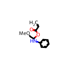 C=CC(=O)OC(COC)Nc1ccccc1